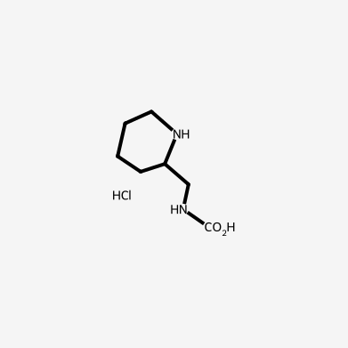 Cl.O=C(O)NCC1CCCCN1